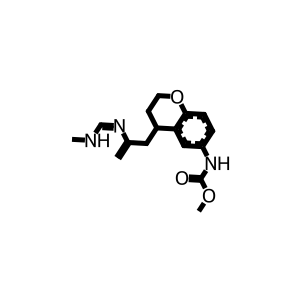 C=C(CC1CCOc2ccc(NC(=O)OC)cc21)/N=C\NC